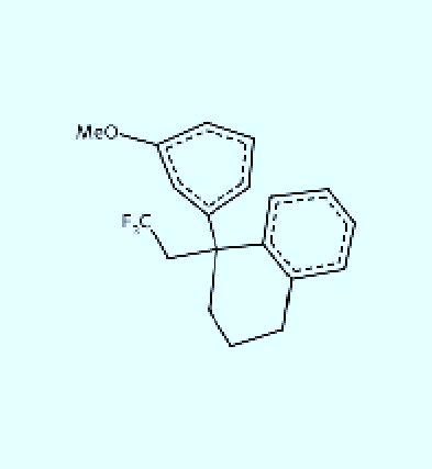 COc1cccc(C2(CC(F)(F)F)CCCc3ccccc32)c1